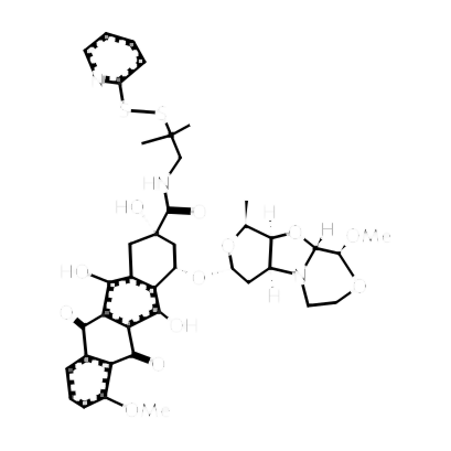 COc1cccc2c1C(=O)c1c(O)c3c(c(O)c1C2=O)C[C@@](O)(C(=O)NCC(C)(C)SSc1ccccn1)C[C@@H]3O[C@H]1C[C@H]2[C@H](O[C@@H]3[C@@H](OC)OCCN32)[C@H](C)O1